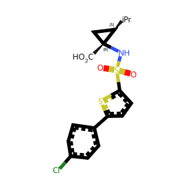 CC(C)[C@@H]1C[C@]1(NS(=O)(=O)c1ccc(-c2ccc(Cl)cc2)s1)C(=O)O